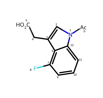 CC(=O)n1cc(CC(=O)O)c2c(F)cccc21